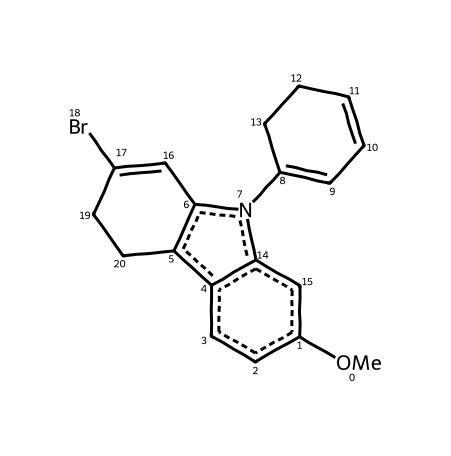 COc1ccc2c3c(n(C4=CC=CCC4)c2c1)C=C(Br)CC3